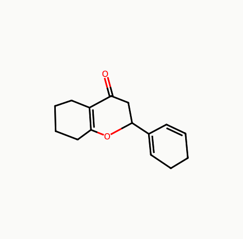 O=C1CC(C2=CCCC=C2)OC2=C1CCCC2